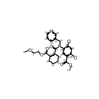 COCCOC(=O)C1=C(C(=O)N(Cc2cccnc2)c2cc(C(=O)OC)c(Cl)cc2Cl)CCCC1